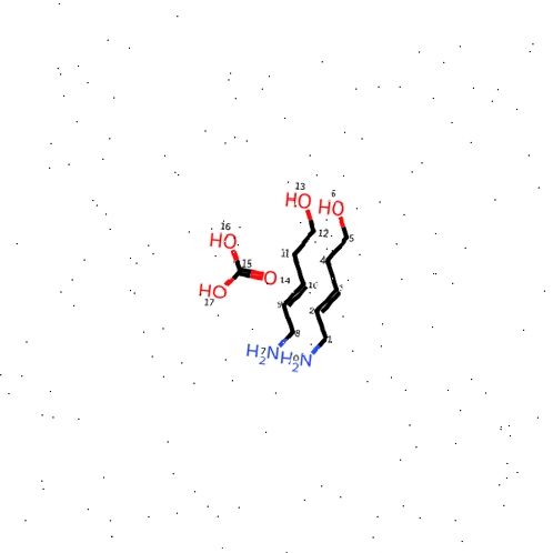 NCC=CCCO.NCC=CCCO.O=C(O)O